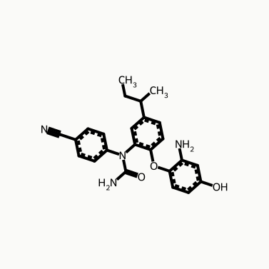 CCC(C)c1ccc(Oc2ccc(O)cc2N)c(N(C(N)=O)c2ccc(C#N)cc2)c1